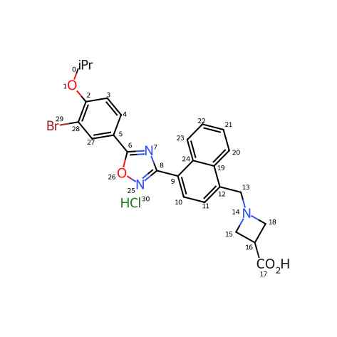 CC(C)Oc1ccc(-c2nc(-c3ccc(CN4CC(C(=O)O)C4)c4ccccc34)no2)cc1Br.Cl